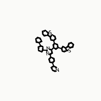 c1ccc(-c2cccc(-c3nc(-c4ccc(-c5cccnc5)cc4)cc(-c4cc(-c5ccc6sc7ccccc7c6c5)cc(-c5ccc6sc7ccccc7c6c5)c4)n3)c2)cc1